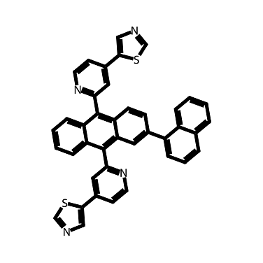 c1ccc2c(-c3ccc4c(-c5cc(-c6cncs6)ccn5)c5ccccc5c(-c5cc(-c6cncs6)ccn5)c4c3)cccc2c1